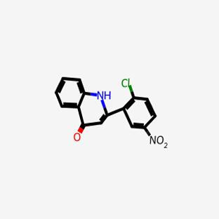 O=c1cc(-c2cc([N+](=O)[O-])ccc2Cl)[nH]c2ccccc12